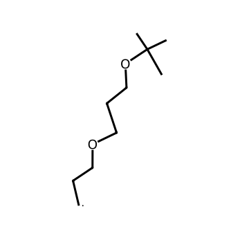 [CH2]CCOCCCOC(C)(C)C